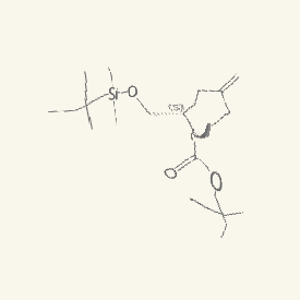 C=C1C[C@@H](CO[Si](C)(C)C(C)(C)C)N(C(=O)OC(C)(C)C)C1